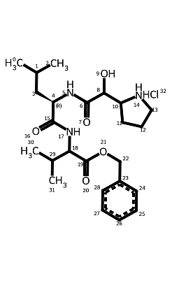 CC(C)C[C@@H](NC(=O)C(O)C1CCCN1)C(=O)NC(C(=O)OCc1ccccc1)C(C)C.Cl